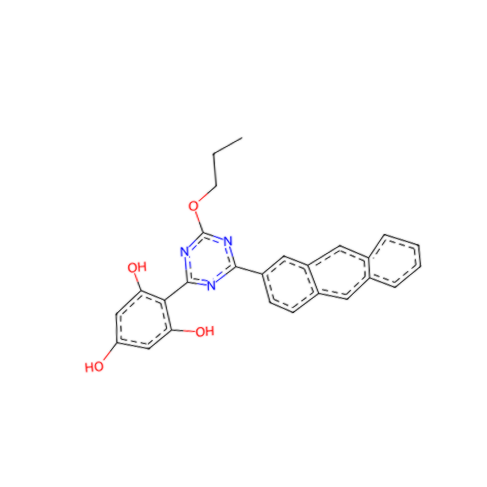 CCCOc1nc(-c2ccc3cc4ccccc4cc3c2)nc(-c2c(O)cc(O)cc2O)n1